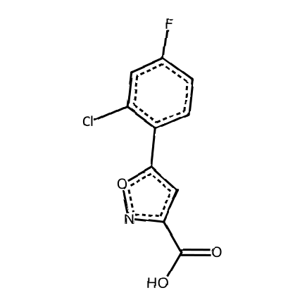 O=C(O)c1cc(-c2ccc(F)cc2Cl)on1